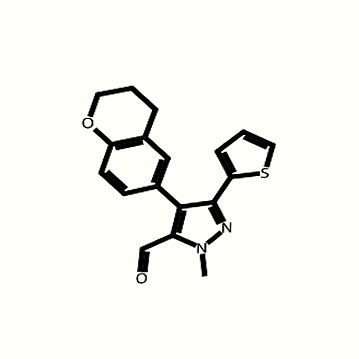 Cn1nc(-c2cccs2)c(-c2ccc3c(c2)CCCO3)c1C=O